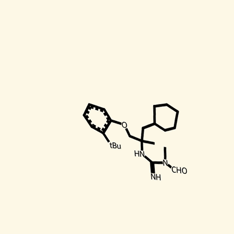 CN(C=O)C(=N)NC(C)(COc1ccccc1C(C)(C)C)CC1CCCCC1